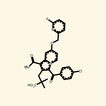 CC(C)(C)C(=O)c1c(CC(C)(C)C(=O)O)c(C(=O)c2ccc(Cl)cc2)n2ccc(OCc3cccc(F)n3)cc12